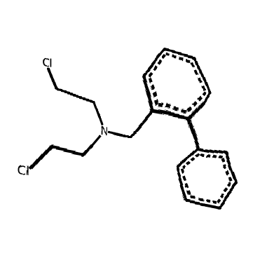 ClCCN(CCCl)Cc1ccccc1-c1ccccc1